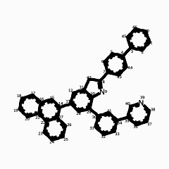 c1ccc(-c2ccc(C3=Nc4c(cc(-c5cc6ccccc6c6ccccc56)cc4-c4cccc(-c5cccnc5)c4)C3)cc2)cc1